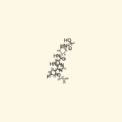 C[C@H](O)C(=O)N[C@H]1CC[C@H](NC(=O)c2c[nH]c3c(-c4ccc(F)cc4OCC4CC4)ncnc23)CC1